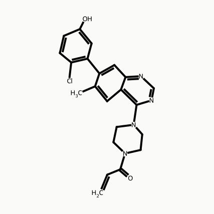 C=CC(=O)N1CCN(c2ncnc3cc(-c4cc(O)ccc4Cl)c(C)cc23)CC1